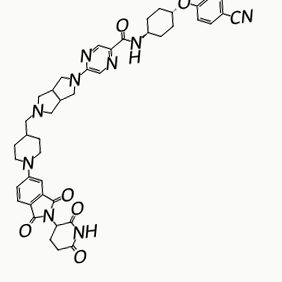 N#Cc1ccc(O[C@H]2CC[C@H](NC(=O)c3cnc(N4CC5CN(CC6CCN(c7ccc8c(c7)C(=O)N(C7CCC(=O)NC7=O)C8=O)CC6)CC5C4)cn3)CC2)cc1Cl